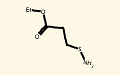 CCOC(=O)CCSN